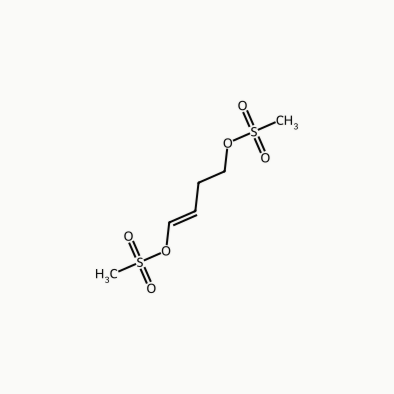 CS(=O)(=O)OC=CCCOS(C)(=O)=O